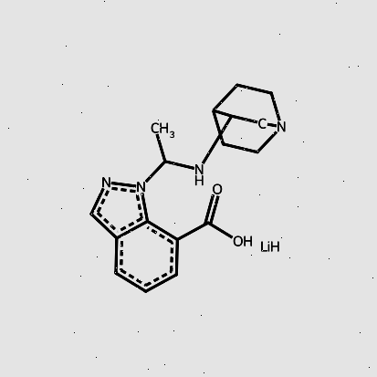 CC(NC1CN2CCC1CC2)n1ncc2cccc(C(=O)O)c21.[LiH]